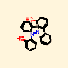 Oc1ccccc1N=NC1(c2ccccc2)C(c2ccccc2)=CC=CC1O